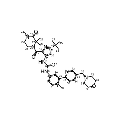 Cc1ccc(NC(=O)Nc2cn(C(C)(C)C)nc2C(=O)N2CCN(C)C(=O)C2(C)C)cc1-c1ccc(CN2CCOCC2)cn1